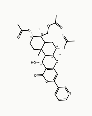 CC(=O)OC[C@@]1(C)C2C[C@H](OC(C)=O)[C@@]3(C)Oc4cc(-c5cccnc5)oc(=O)c4[C@H](O)C3C2(C)CC[C@@H]1OC(C)=O